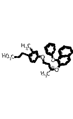 Cc1cc(OCC[C@@H](C)Oc2ccc3ccccc3c2Oc2ccccc2)ccc1CCC(=O)O